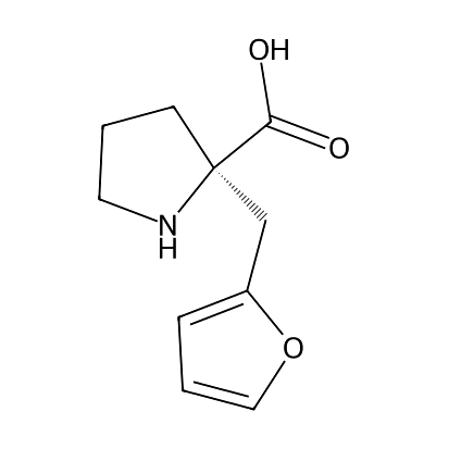 O=C(O)[C@]1(Cc2ccco2)CCCN1